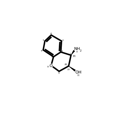 N[C@@H]1c2ccccc2OC[C@@H]1O